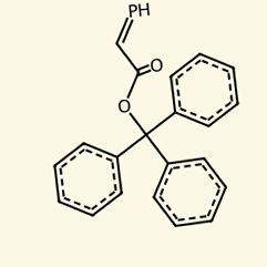 O=C(C=P)OC(c1ccccc1)(c1ccccc1)c1ccccc1